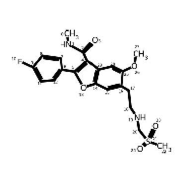 CNC(=O)c1c(-c2ccc(F)cc2)oc2cc(CCNCS(C)(=O)=O)c(OC)cc12